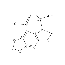 O=[N+]([O-])c1c2c(cc3c1C(C(F)F)CC3)CCC2